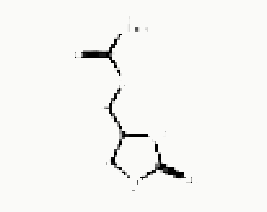 CCCCCCC(=O)OCC1COC(=O)O1